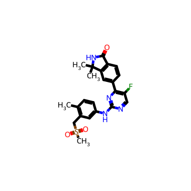 Cc1ccc(Nc2ncc(F)c(-c3ccc4c(c3)C(C)(C)NC4=O)n2)cc1CS(C)(=O)=O